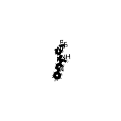 Cc1[nH]c([C@H]2CCN(CC(F)(F)F)C2)nc1-c1ccc(-c2ccccc2)nc1